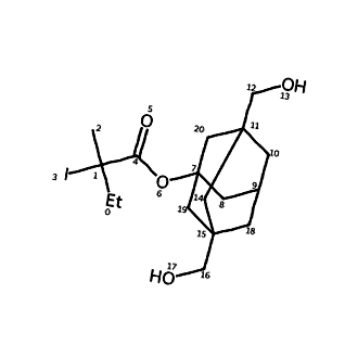 CCC(C)(I)C(=O)OC12CC3CC(CO)(CC(CO)(C3)C1)C2